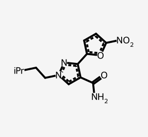 CC(C)CCn1cc(C(N)=O)c(-c2ccc([N+](=O)[O-])o2)n1